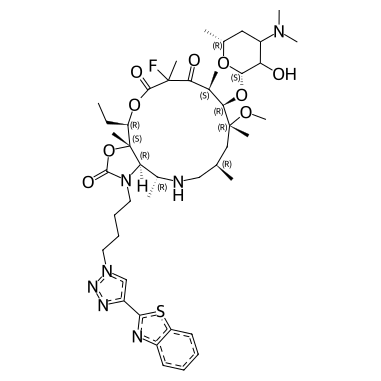 CC[C@H]1OC(=O)C(C)(F)C(=O)[C@@H](C)[C@@H](O[C@@H]2O[C@H](C)CC(N(C)C)C2O)[C@](C)(OC)C[C@@H](C)CN[C@H](C)[C@H]2N(CCCCn3cc(-c4nc5ccccc5s4)nn3)C(=O)O[C@]12C